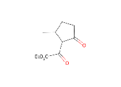 CCOC(=O)C(=O)C1C(=O)CCC1C